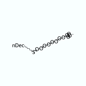 CCCCCCCCCCCCCCCCCC[S+](C)CCOCCOCCOCCOCCOCCOCCOCCOCCOS(=O)(=O)[O-]